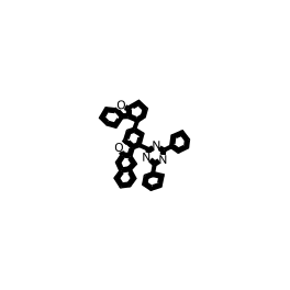 c1ccc(-c2nc(-c3ccccc3)nc(-c3cc(-c4cccc5oc6ccccc6c45)cc4oc5cc6ccccc6cc5c34)n2)cc1